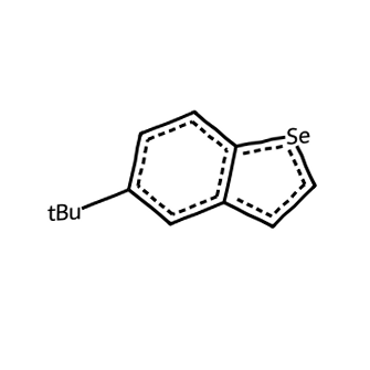 CC(C)(C)c1ccc2[se]ccc2c1